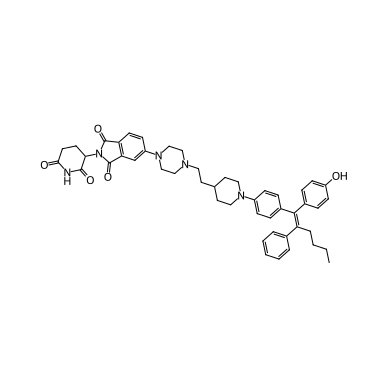 CCCC/C(=C(\c1ccc(O)cc1)c1ccc(N2CCC(CCN3CCN(c4ccc5c(c4)C(=O)N(C4CCC(=O)NC4=O)C5=O)CC3)CC2)cc1)c1ccccc1